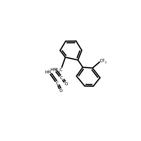 FC(F)(F)c1ccccc1-c1ccccc1C(F)(F)F.N=C=O.N=C=O